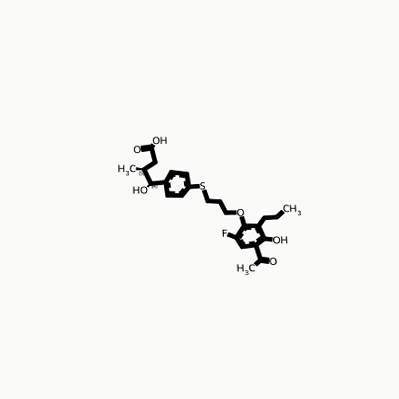 CCCc1c(O)c(C(C)=O)cc(F)c1OCCCSc1ccc([C@H](O)[C@@H](C)CC(=O)O)cc1